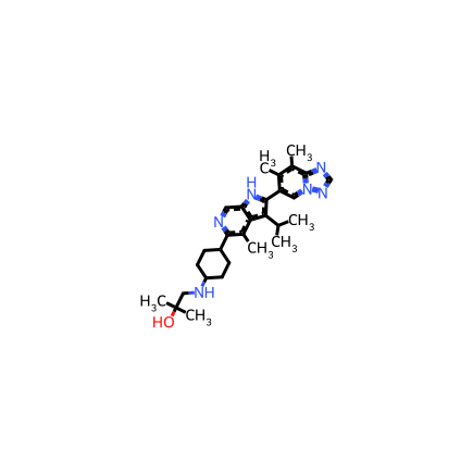 Cc1c(-c2[nH]c3cnc(C4CCC(NCC(C)(C)O)CC4)c(C)c3c2C(C)C)cn2ncnc2c1C